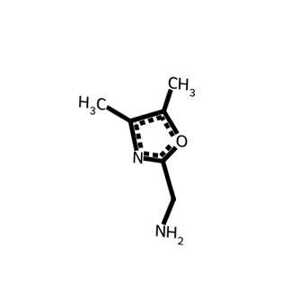 Cc1nc(CN)oc1C